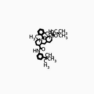 Cc1cccc(C)c1C(=O)N1CCCC(C(=O)Nc2cccc(C(C)(C)C)c2)C1CC1CCN(C(=O)OC(C)(C)C)CC1